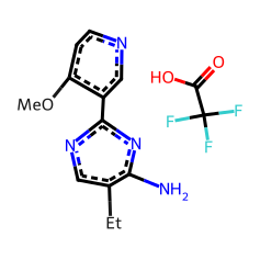 CCc1cnc(-c2cnccc2OC)nc1N.O=C(O)C(F)(F)F